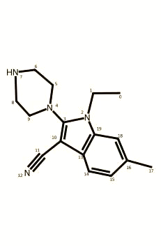 CCn1c(N2CCNCC2)c(C#N)c2ccc(C)cc21